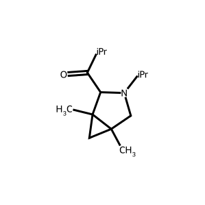 CC(C)C(=O)C1N(C(C)C)CC2(C)CC12C